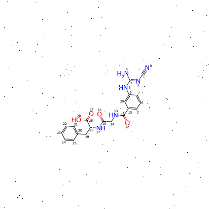 N#CN=C(N)Nc1cccc(C(=O)NCC(=O)NC(Cc2ccccc2)C(=O)O)c1